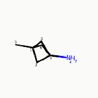 CC12CC(N)(C1)C2